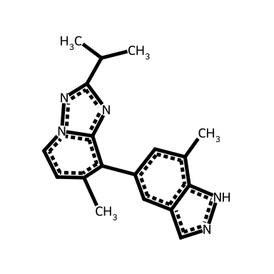 Cc1ccn2nc(C(C)C)nc2c1-c1cc(C)c2[nH]ncc2c1